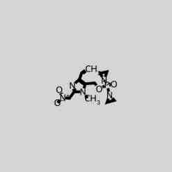 C=Cc1nc(C[N+](=O)[O-])n(C)c1COP(=O)(N1CC1)N1CC1